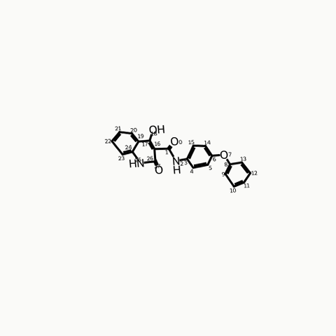 O=C(Nc1ccc(Oc2ccccc2)cc1)c1c(O)c2ccccc2[nH]c1=O